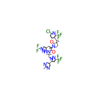 Cc1ncc(-c2cc(C(F)(F)F)nn2CC(C)(C)NC(=O)[C@@H](Cc2cnn(C(F)F)c2)N2CCC3(CC3c3ccc(Cl)nc3C(F)(F)F)C2=O)cn1